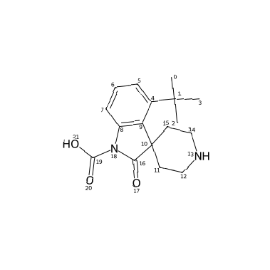 CC(C)(C)c1cccc2c1C1(CCNCC1)C(=O)N2C(=O)O